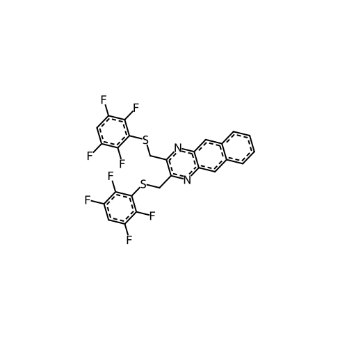 Fc1cc(F)c(F)c(SCc2nc3cc4ccccc4cc3nc2CSc2c(F)c(F)cc(F)c2F)c1F